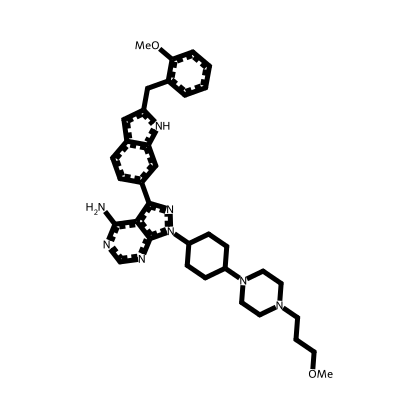 COCCCN1CCN(C2CCC(n3nc(-c4ccc5cc(Cc6ccccc6OC)[nH]c5c4)c4c(N)ncnc43)CC2)CC1